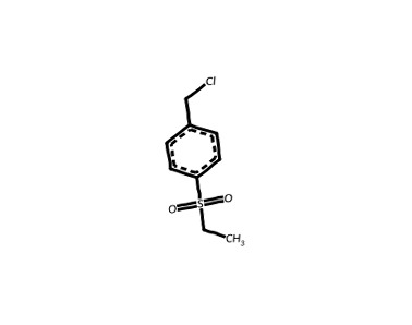 CCS(=O)(=O)c1ccc(CCl)cc1